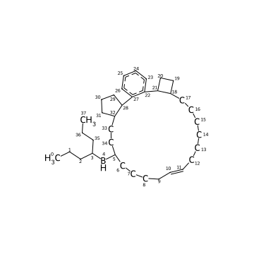 CCCC(BC1CCCC/C=C/CCCCCCC2CCC2c2ccccc2C2CCCC2CC1)CCC